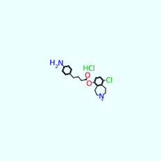 CN1CCc2c(Cl)ccc(OC(=O)CCCc3ccc(N)cc3)c2CC1.Cl